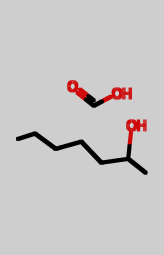 CCCCCC(C)O.O=CO